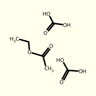 CCOC(C)=O.O=C(O)O.O=C(O)O